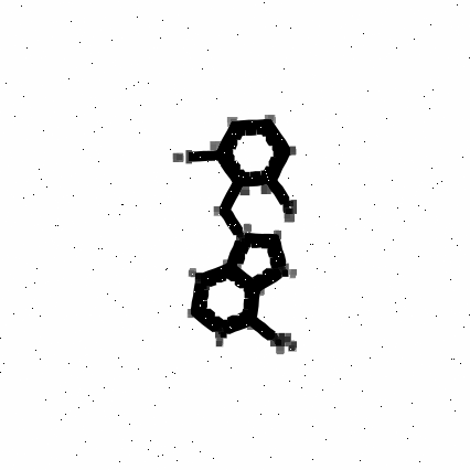 Nc1ncnc2c1ncn2Cc1c(Cl)cccc1I